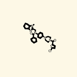 Cn1c(CN(C(=O)c2ccccc2)c2ccc(N3CCN(C(=O)c4ccc(Cl)s4)CC3)cc2)nc2ccccc21